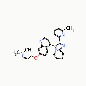 Cc1cccc(-c2nc3ccccn3c2-c2ccnc3cc(OC/C=C\N(C)C)ccc23)n1